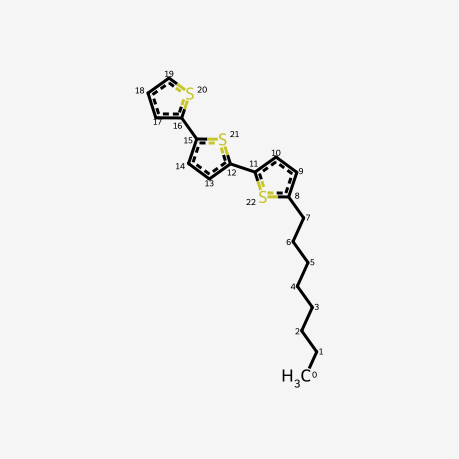 CCCCCCCCc1ccc(-c2ccc(-c3cccs3)s2)s1